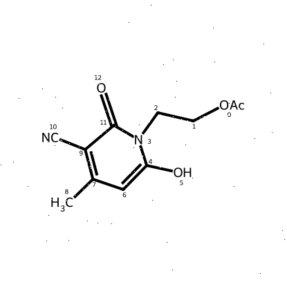 CC(=O)OCCn1c(O)cc(C)c(C#N)c1=O